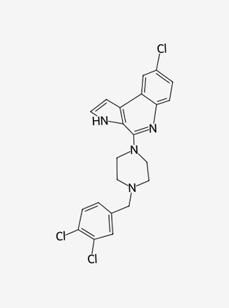 Clc1ccc2nc(N3CCN(Cc4ccc(Cl)c(Cl)c4)CC3)c3[nH]ccc3c2c1